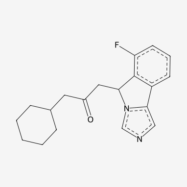 O=C(CC1CCCCC1)CC1c2c(F)cccc2-c2cncn21